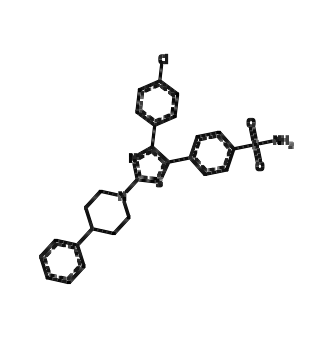 NS(=O)(=O)c1ccc(-c2sc(N3CCC(c4ccccc4)CC3)nc2-c2ccc(Cl)cc2)cc1